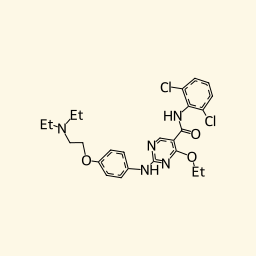 CCOc1nc(Nc2ccc(OCCN(CC)CC)cc2)ncc1C(=O)Nc1c(Cl)cccc1Cl